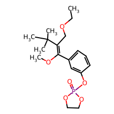 CCOCC(=C(OC)c1cccc(OP2(=O)OCCO2)c1)C(C)(C)C